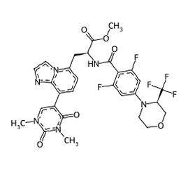 COC(=O)[C@H](Cc1ccc(-c2cn(C)c(=O)n(C)c2=O)c2nccn12)NC(=O)c1c(F)cc(N2CCOC[C@@H]2C(F)(F)F)cc1F